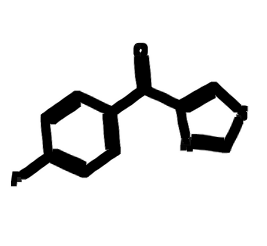 O=C(c1ccc(F)cc1)c1cscn1